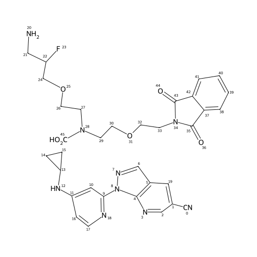 N#Cc1cnc2c(cnn2-c2cc(NC3CC3)ccn2)c1.NCC(F)COCCN(CCOCCN1C(=O)c2ccccc2C1=O)C(=O)O